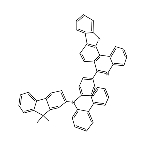 CC1(C)c2ccccc2-c2ccc(N(c3ccc(-c4nc5ccccc5c5c4ccc4c6ccccc6sc45)cc3)c3ccccc3-c3ccccc3)cc21